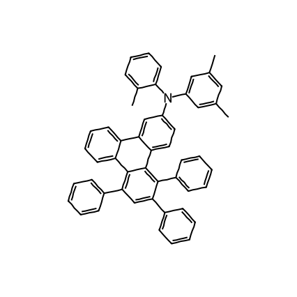 Cc1cc(C)cc(N(c2ccc3c(c2)c2ccccc2c2c(-c4ccccc4)cc(-c4ccccc4)c(-c4ccccc4)c32)c2ccccc2C)c1